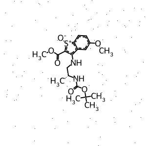 COC(=O)c1c(NC[C@@H](C)NC(=O)OC(C)(C)C)c2cc(OC)ccc2[s+]1[O-]